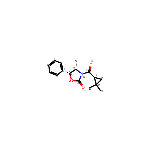 C[C@H]1[C@@H](c2ccccc2)OC(=O)N1C(=O)[C@H]1CC1(C)C